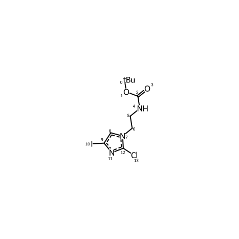 CC(C)(C)OC(=O)NCCn1cc(I)nc1Cl